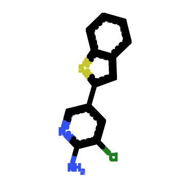 Nc1ncc(-c2cc3ccccc3s2)cc1Cl